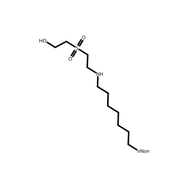 CCCCCCCCCCCCCCCCNCCS(=O)(=O)CCO